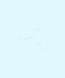 OP(O)O.[Ge]